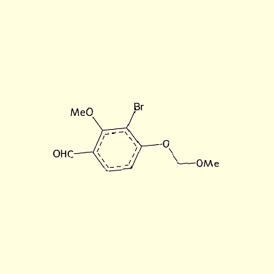 COCOc1ccc(C=O)c(OC)c1Br